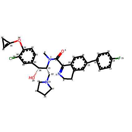 CN(C(=O)C1=NCCc2cc(-c3ccc(F)cc3)ccc21)[C@H](CN1CCCC1)[C@H](O)c1ccc(OC2=CC2)c(Cl)c1